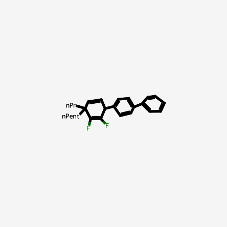 CCCCCC1(CCC)C=CC(c2ccc(-c3ccccc3)cc2)C(F)=C1F